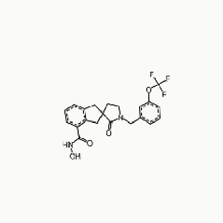 O=C(NO)c1cccc2c1CC1(CCN(Cc3cccc(OC(F)(F)F)c3)C1=O)C2